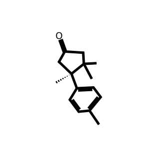 Cc1ccc([C@@]2(C)CC(=O)CC2(C)C)cc1